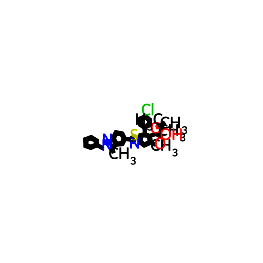 Cc1cc2nc(-c3ccc4nn(Cc5ccccc5)c(C)c4c3)sc2c(-c2ccc(Cl)cc2)c1C(OC(C)(C)C)C(=O)O